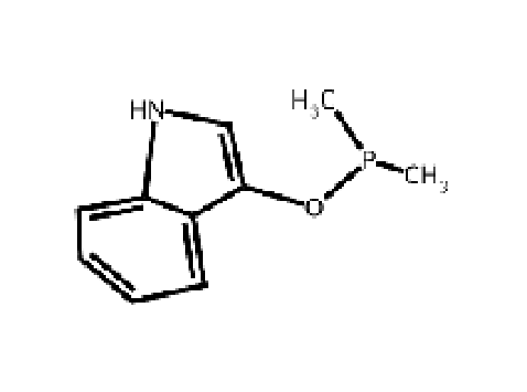 CP(C)Oc1c[nH]c2ccccc12